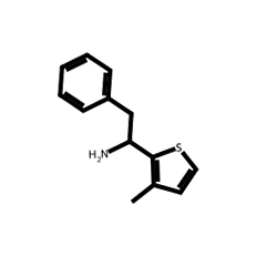 Cc1ccsc1C(N)Cc1ccccc1